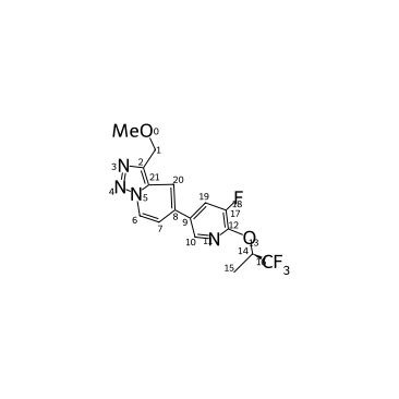 COCc1nnn2ccc(-c3cnc(O[C@H](C)C(F)(F)F)c(F)c3)cc12